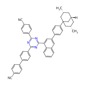 C[C@@H]1C[C@@H]2C[C@H](C)CC(c3ccc(-c4cc(-c5nc(-c6ccc(C#N)cc6)nc(-c6ccc(-c7ccc(C#N)cc7)cc6)n5)c5ccccc5c4)cc3)(C1)C2